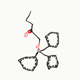 CCCC(=O)CO[Si](c1ccccc1)(c1ccccc1)c1ccccc1